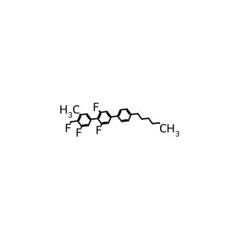 CCCCCCc1ccc(-c2cc(F)c(-c3cc(C)c(CF)c(F)c3)c(F)c2)cc1